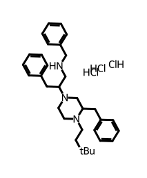 CC(C)(C)CCN1CCN(C(CNCc2ccccc2)Cc2ccccc2)CC1Cc1ccccc1.Cl.Cl.Cl